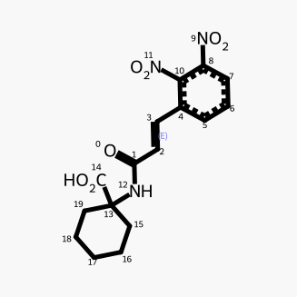 O=C(/C=C/c1cccc([N+](=O)[O-])c1[N+](=O)[O-])NC1(C(=O)O)CCCCC1